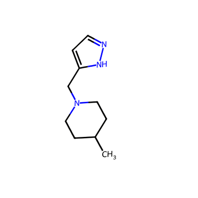 CC1CCN(Cc2ccn[nH]2)CC1